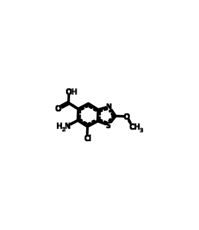 COc1nc2cc(C(=O)O)c(N)c(Cl)c2s1